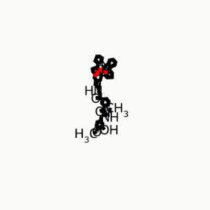 CCN(NCc1ccc(OC)c(O)c1)C(=O)c1cccc(C(=O)CNCCN2CCC(OC(=O)N(c3ccccc3-c3ccccc3)c3ccccc3-c3ccccc3)CC2)c1